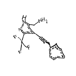 Nc1[nH]nc(C(F)(F)F)c1C#Cc1ccccc1